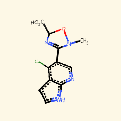 CN1OC(C(=O)O)N=C1c1cnc2[nH]ccc2c1Cl